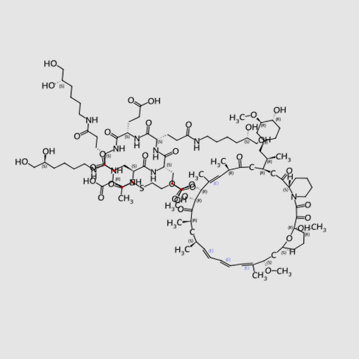 CO[C@H]1C[C@@H]2CC[C@@H](C)[C@@](O)(O2)C(=O)C(=O)N2CCCC[C@H]2C(=O)C[C@H]([C@H](C)C[C@@H]2CC[C@@H](O)[C@H](OC)C2)CC(=O)[C@H](C)/C=C(\C)[C@@H](OC(=O)OCCSSC[C@H](NC(=O)[C@H](CCC(=O)NCCCC[C@H](O)CO)NC(=O)[C@H](CCC(=O)O)NC(=O)[C@H](CCC(=O)NCCCC[C@H](O)CO)NC(=O)[C@H](CCC(=O)O)NC(=O)[C@H](CCC(=O)NCCCC[C@H](O)CO)NC(C)=O)C(=O)O)[C@@H](OC)C(=O)[C@H](C)C[C@H](C)/C=C/C=C/C=C/1C